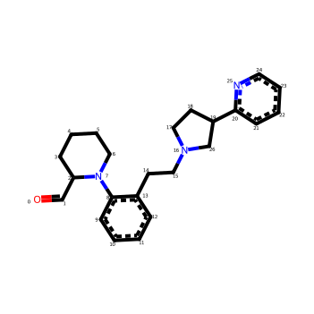 O=CC1CCCCN1c1ccccc1CCN1CCC(c2ccccn2)C1